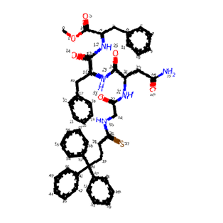 COC(=O)C(Cc1ccccc1)NC(=O)C(Cc1ccccc1)NC(=O)C(CC(N)=O)NC(=O)CNC(=S)CCC(c1ccccc1)(c1ccccc1)c1ccccc1